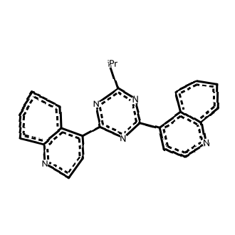 CC(C)c1nc(-c2ccnc3ccccc23)nc(-c2ccnc3ccccc23)n1